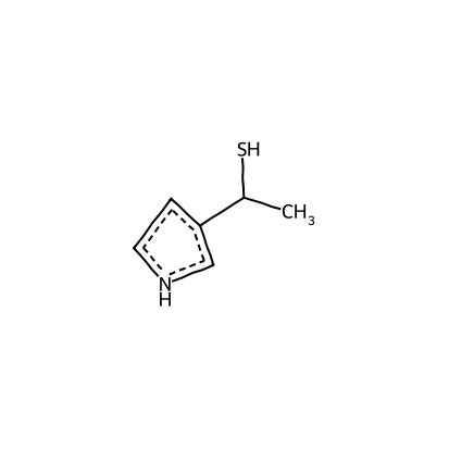 CC(S)c1cc[nH]c1